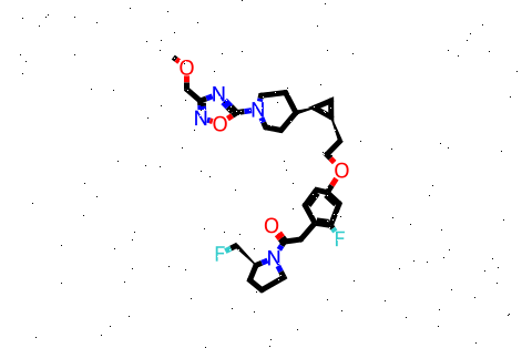 COCc1noc(N2CCC([C@H]3C[C@H]3CCOc3ccc(CC(=O)N4CCC[C@H]4CF)c(F)c3)CC2)n1